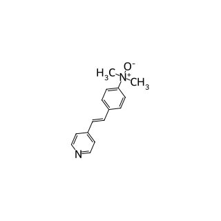 C[N+](C)([O-])c1ccc(/C=C/c2ccncc2)cc1